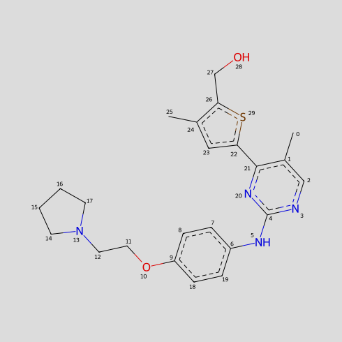 Cc1cnc(Nc2ccc(OCCN3CCCC3)cc2)nc1-c1cc(C)c(CO)s1